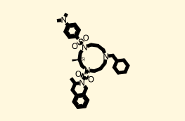 CC1Cc2ccccc2CN1S(=O)(=O)N1CCCN(CC2CCCCC2)CCCN(S(=O)(=O)c2ccc(N(C)C)cc2)C[C@H](C)C1